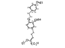 CCO/C(=C\CCc1ccc(OCCc2ccc(OCC)cc2)c(OC)c1)C(=O)O